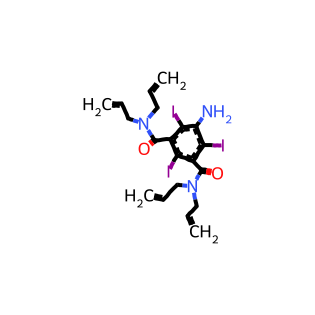 C=CCN(CC=C)C(=O)c1c(I)c(N)c(I)c(C(=O)N(CC=C)CC=C)c1I